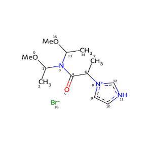 COC(C)N(C(=O)C(C)[n+]1cc[nH]c1)C(C)OC.[Br-]